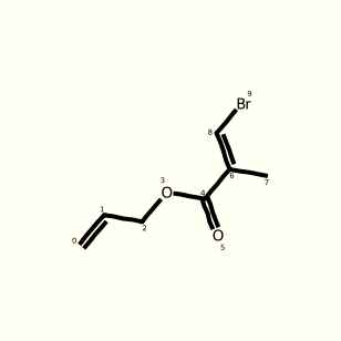 C=CCOC(=O)C(C)=CBr